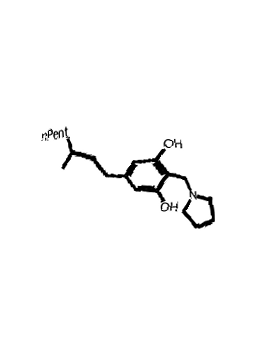 CCCCCC(C)CCc1cc(O)c(CN2CCCC2)c(O)c1